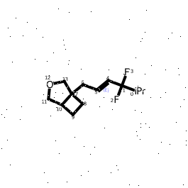 CC(C)C(F)(F)/C=C/CC12CCC1COC2